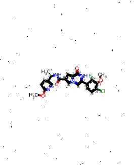 COc1ccc([C@H](C)NC(=O)c2cc3c(=O)[nH]c(-c4ccc(Cl)c(OC)c4F)cn3c2)cn1